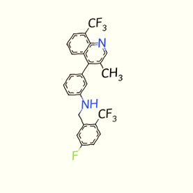 Cc1cnc2c(C(F)(F)F)cccc2c1-c1cccc(NCc2cc(F)ccc2C(F)(F)F)c1